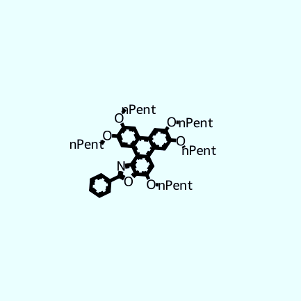 CCCCCOc1cc2c3cc(OCCCCC)c(OCCCCC)cc3c3c(cc(OCCCCC)c4oc(-c5ccccc5)nc43)c2cc1OCCCCC